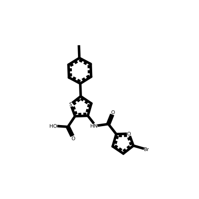 Cc1ccc(-c2cc(NC(=O)c3ccc(Br)o3)c(C(=O)O)s2)cc1